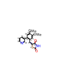 COc1cc(/C=C2/SC(=O)NC2=O)c(-c2cccnc2)cc1OC